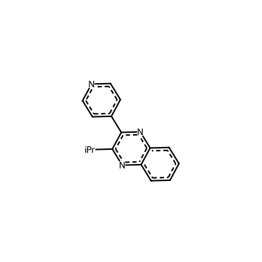 CC(C)c1nc2ccccc2nc1-c1ccncc1